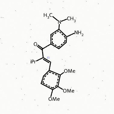 COc1ccc(/C=C(/C(=O)c2ccc(N)c(N(C)C)c2)C(C)C)c(OC)c1OC